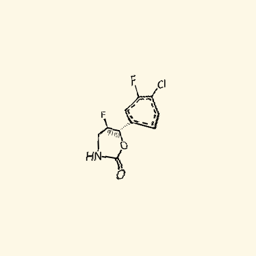 O=C1NC[C@@H](F)[C@H](c2ccc(Cl)c(F)c2)O1